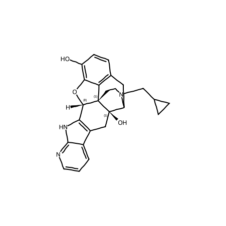 Oc1ccc2c3c1O[C@H]1c4[nH]c5ncccc5c4C[C@@]4(O)C(C2)N(CC2CC2)CC[C@]314